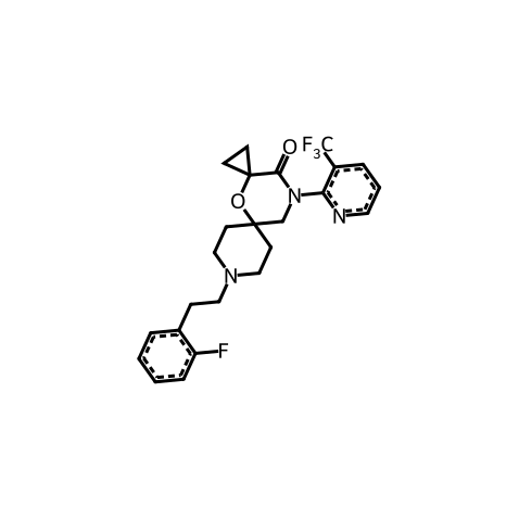 O=C1N(c2ncccc2C(F)(F)F)CC2(CCN(CCc3ccccc3F)CC2)OC12CC2